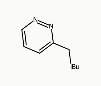 CCC(C)Cc1cccnn1